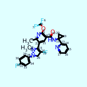 Cc1nc(OC(F)F)c(C(=O)NC2(c3ccccn3)CC2)cc1C1=C(F)CN(c2ccc(F)cc2)N1C